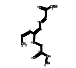 C\C=C/C(=C\N=C\C(=O)OC)OCC(=O)OC(C)(C)C